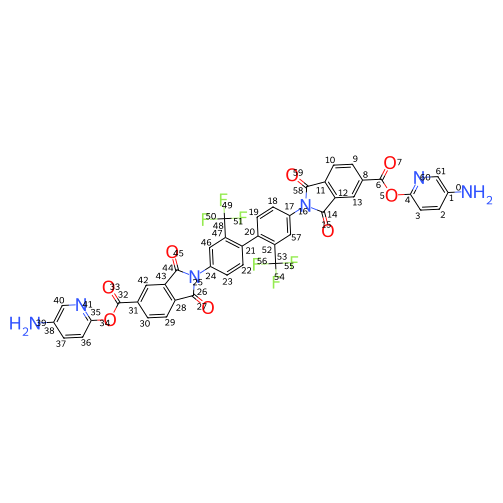 Nc1ccc(OC(=O)c2ccc3c(c2)C(=O)N(c2ccc(-c4ccc(N5C(=O)c6ccc(C(=O)Oc7ccc(N)cn7)cc6C5=O)cc4C(F)(F)F)c(C(F)(F)F)c2)C3=O)nc1